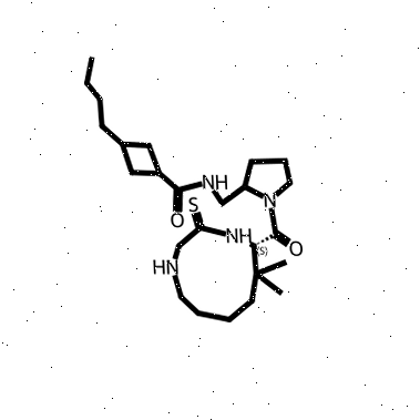 CCCCC1CC(C(=O)NCC2CCCN2C(=O)[C@H]2NC(=S)CNCCCCC2(C)C)C1